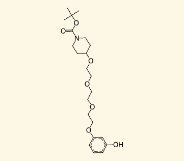 CC(C)(C)OC(=O)N1CCC(OCCOCCOCCOc2cccc(O)c2)CC1